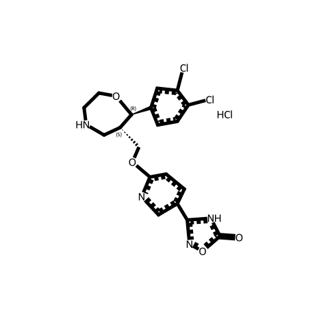 Cl.O=c1[nH]c(-c2ccc(OC[C@@H]3CNCCO[C@H]3c3ccc(Cl)c(Cl)c3)nc2)no1